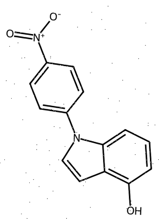 O=[N+]([O-])c1ccc(-n2ccc3c(O)cccc32)cc1